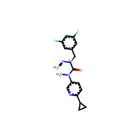 C=N[C@@H](Cc1cc(F)cc(F)c1)C(=O)N(C)c1ccc(C2CC2)nc1